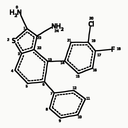 Nc1sc2ccc(-c3ccccc3)c(-c3ccc(F)c(Cl)c3)c2c1N